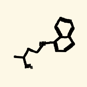 CC(N)CCNc1cccc2ccccc12